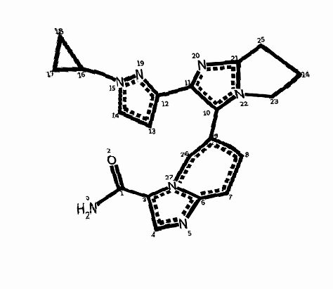 NC(=O)c1cnc2ccc(-c3c(-c4ccn(C5CC5)n4)nc4n3CCC4)cn12